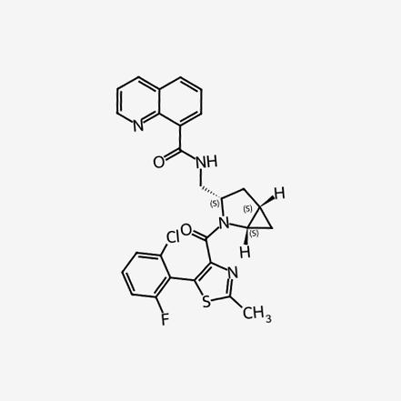 Cc1nc(C(=O)N2[C@H](CNC(=O)c3cccc4cccnc34)C[C@@H]3C[C@@H]32)c(-c2c(F)cccc2Cl)s1